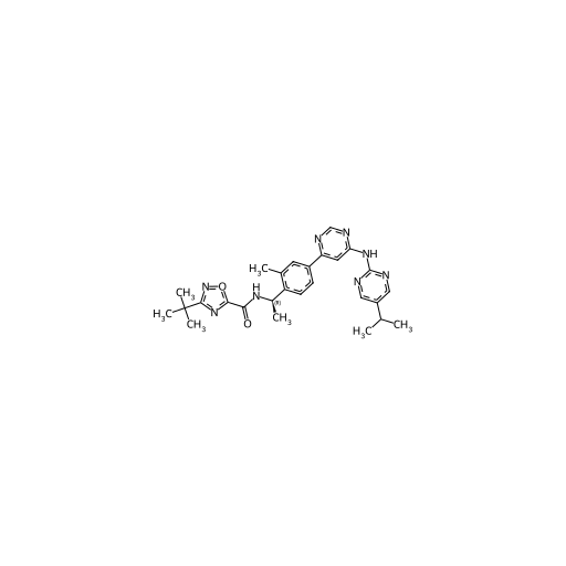 Cc1cc(-c2cc(Nc3ncc(C(C)C)cn3)ncn2)ccc1[C@@H](C)NC(=O)c1nc(C(C)(C)C)no1